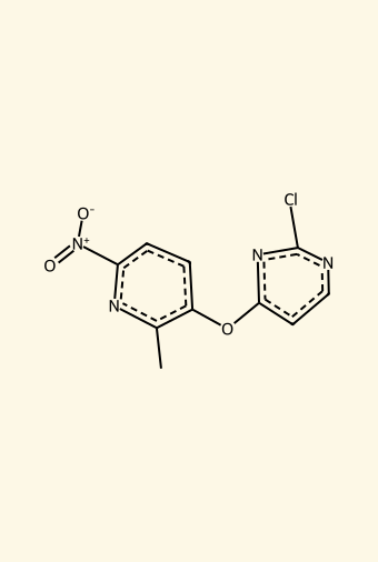 Cc1nc([N+](=O)[O-])ccc1Oc1ccnc(Cl)n1